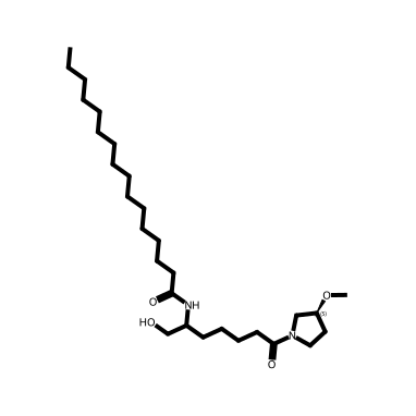 CCCCCCCCCCCCCCCC(=O)NC(CO)CCCCC(=O)N1CC[C@H](OC)C1